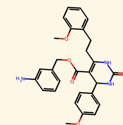 COc1ccc(C2NC(=O)NC(CCc3ccccc3OC)=C2C(=O)OCc2cccc(N)c2)cc1